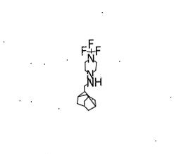 FC(F)(F)N1CCN(NCC2C3CC4CC(C3)CC2C4)CC1